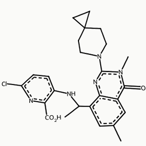 Cc1cc(C(C)Nc2ccc(Cl)nc2C(=O)O)c2nc(N3CCC4(CC3)CC4)n(C)c(=O)c2c1